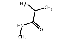 CNC(=O)[C](C)C